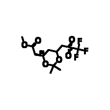 COC(=O)C[C@H]1CC(CS(=O)(=O)C(F)(F)F)OC(C)(C)O1